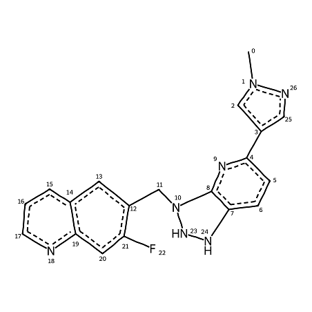 Cn1cc(-c2ccc3c(n2)N(Cc2cc4cccnc4cc2F)NN3)cn1